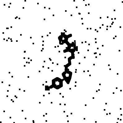 Cc1ncoc1-c1nnc(SCCCN2CC3C[C@@]3(c3ccc(Br)cc3)C2)n1C